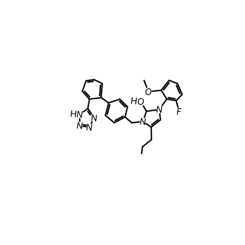 CCCC1=CN(c2c(F)cccc2OC)C(O)N1Cc1ccc(-c2ccccc2-c2nnn[nH]2)cc1